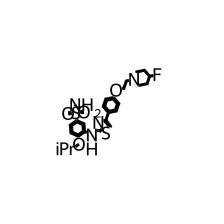 CC(C)Oc1ccc(S(N)(=O)=O)cc1Nc1nc(-c2ccc(OCCN3CCC(F)CC3)cc2)cs1